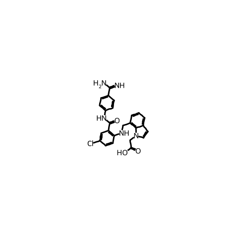 N=C(N)c1ccc(NC(=O)c2cc(Cl)ccc2NCc2cccc3ccn(CC(=O)O)c23)cc1